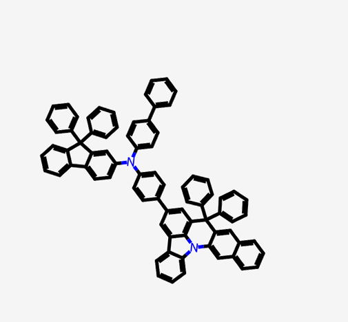 c1ccc(-c2ccc(N(c3ccc(-c4cc5c6c(c4)c4ccccc4n6-c4cc6ccccc6cc4C5(c4ccccc4)c4ccccc4)cc3)c3ccc4c(c3)C(c3ccccc3)(c3ccccc3)c3ccccc3-4)cc2)cc1